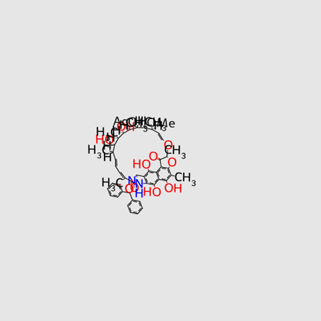 CO[C@H]1/C=C/O[C@@]2(C)Oc3c(C)c(O)c4c(O)c(c(/C=N\OC(c5ccccc5)c5ccccc5)c(O)c4c3C2=O)NC(=O)/C(C)=C\C=C\[C@H](C)[C@H](O)[C@@H](C)[C@@H](O)[C@@H](C)[C@H](OC(C)=O)[C@@H]1C